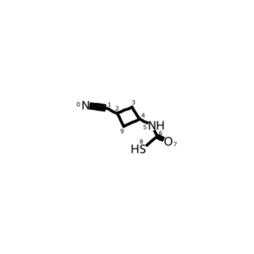 N#CC1CC(NC(=O)S)C1